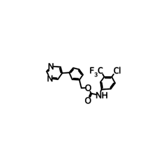 O=C(Nc1ccc(Cl)c(C(F)(F)F)c1)OCc1cccc(-c2cncnc2)c1